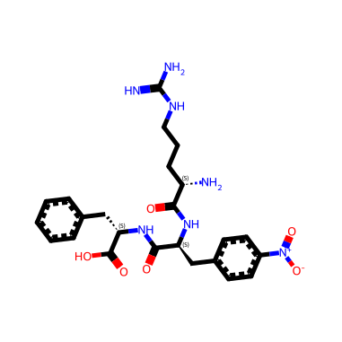 N=C(N)NCCC[C@H](N)C(=O)N[C@@H](Cc1ccc([N+](=O)[O-])cc1)C(=O)N[C@@H](Cc1ccccc1)C(=O)O